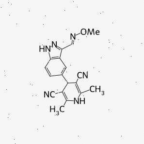 CO/N=C/c1n[nH]c2ccc(C3C(C#N)=C(C)NC(C)=C3C#N)cc12